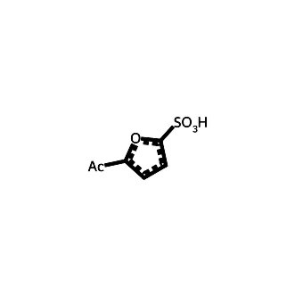 CC(=O)c1ccc(S(=O)(=O)O)o1